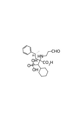 C[C@H](CC(NCCC=O)(C(=O)O)C(C1CCCCC1)P(=O)(O)O)c1ccccc1